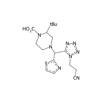 CC(C)(C)C1CN(C(c2nccs2)c2nnnn2CCC#N)CCN1C(=O)O